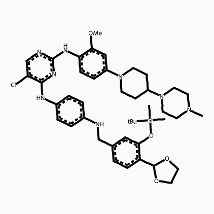 COc1cc(N2CCC(N3CCN(C)CC3)CC2)ccc1Nc1ncc(Cl)c(Nc2ccc(NCc3ccc(C4OCCO4)c(O[Si](C)(C)C(C)(C)C)c3)cc2)n1